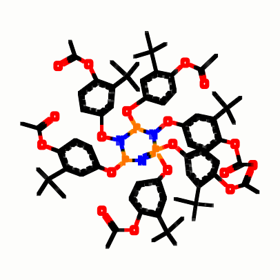 CC(=O)Oc1ccc(ON2P(Oc3ccc(OC(C)=O)c(C(C)(C)C)c3)N=P(Oc3ccc(OC(C)=O)c(C(C)(C)C)c3)(Oc3ccc(OC(C)=O)c(C(C)(C)C)c3)N(Oc3ccc(OC(C)=O)c(C(C)(C)C)c3)P2Oc2ccc(OC(C)=O)c(C(C)(C)C)c2)cc1C(C)(C)C